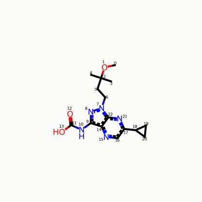 COC(C)(C)CCn1nc(NC(=O)O)c2ncc(C3CC3)nc21